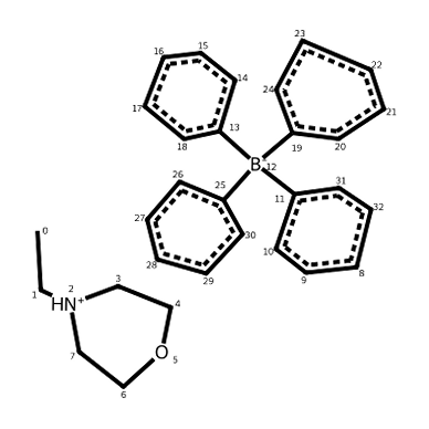 CC[NH+]1CCOCC1.c1ccc([B-](c2ccccc2)(c2ccccc2)c2ccccc2)cc1